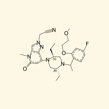 CC[C@H]1CN(C(C)c2ccc(F)cc2OCCOC)[C@H](CC)CN1c1cc(=O)n(C)c2cn(CC#N)nc12